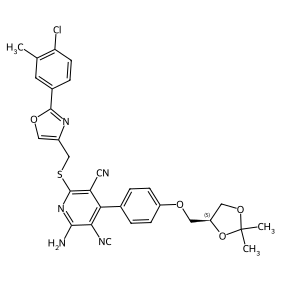 [C-]#[N+]c1c(N)nc(SCc2coc(-c3ccc(Cl)c(C)c3)n2)c(C#N)c1-c1ccc(OC[C@H]2COC(C)(C)O2)cc1